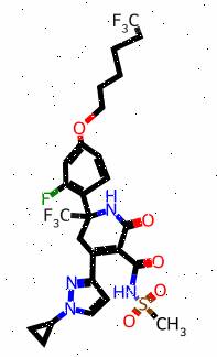 CS(=O)(=O)NC(=O)C1=C(c2ccn(C3CC3)n2)CC(c2ccc(OCCCCCC(F)(F)F)cc2F)(C(F)(F)F)NC1=O